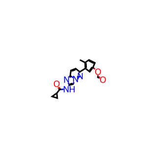 Cc1ccc(OC=O)cc1-c1ccc2nc(NC(=O)C3CC3)cn2n1